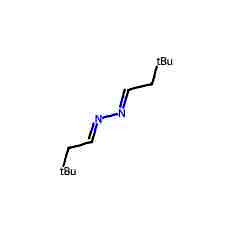 CC(C)(C)CC=NN=CCC(C)(C)C